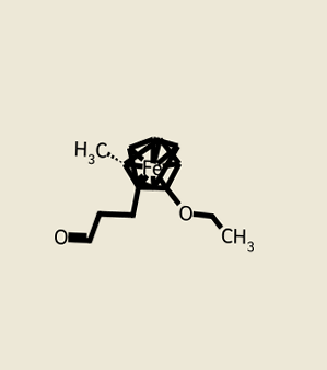 CCO[C]12[CH]3[CH]4[C@]5(C)[C]1(CCC=O)[Fe]34251678[CH]2[CH]1[CH]6[CH]7[CH]28